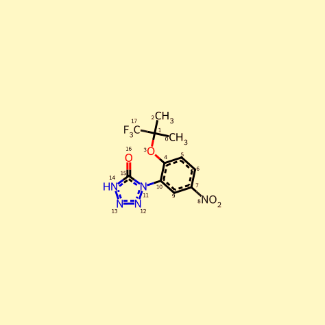 CC(C)(Oc1ccc([N+](=O)[O-])cc1-n1nn[nH]c1=O)C(F)(F)F